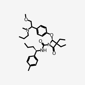 CCC[C@@H](NC(=O)N1C(=O)C(CC)(CC)[C@@H]1Oc1ccc(C(COC)N(C)CCC)cc1)c1ccc(C)cc1